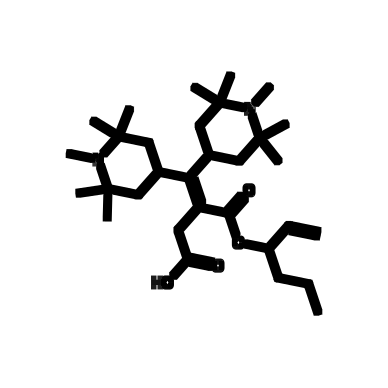 C=CC(CCC)OC(=O)C(CC(=O)O)=C(C1CC(C)(C)N(C)C(C)(C)C1)C1CC(C)(C)N(C)C(C)(C)C1